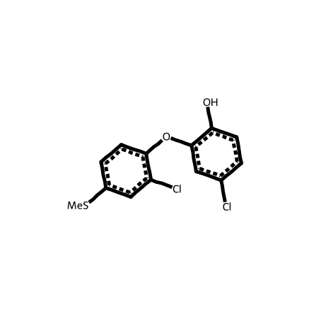 CSc1ccc(Oc2cc(Cl)ccc2O)c(Cl)c1